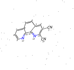 N#Cc1cc2ccc3cccnc3c2nc1C#N